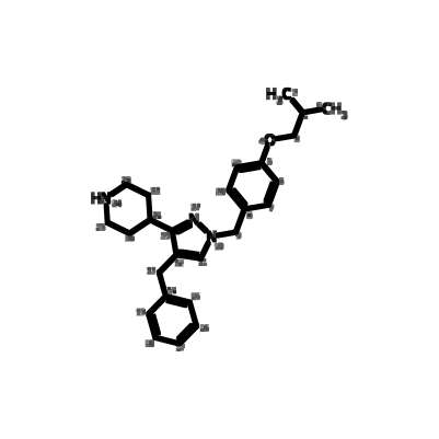 CC(C)COc1ccc(Cn2cc(Cc3ccccc3)c(C3CCNCC3)n2)cc1